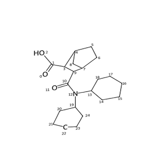 O=C(O)C1C2CCC(C2)C1C(=O)N(C1CCCCC1)C1CCCCC1